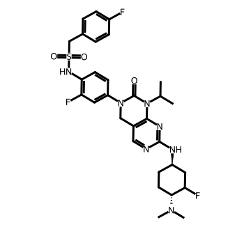 CC(C)N1C(=O)N(c2ccc(NS(=O)(=O)Cc3ccc(F)cc3)c(F)c2)Cc2cnc(N[C@@H]3CC[C@@H](N(C)C)C(F)C3)nc21